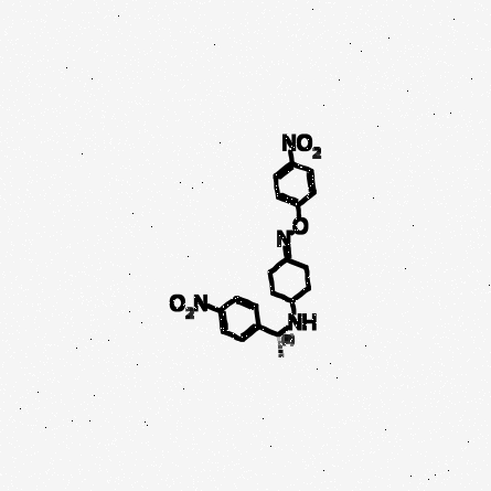 C[C@@H](NC1CCC(=NOc2ccc([N+](=O)[O-])cc2)CC1)c1ccc([N+](=O)[O-])cc1